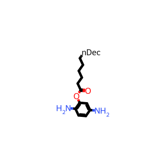 CCCCCCCCCCCCCCCC(=O)Oc1cc(N)ccc1N